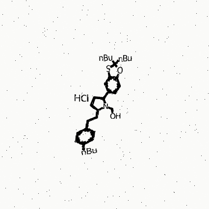 CCCCc1ccc(CCC2CCC(c3ccc4c(c3)SC(CCCC)(CCCC)O4)N2CO)cc1.Cl